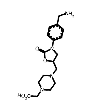 NCc1ccc(N2CC(CN3CCN(CC(=O)O)CC3)OC2=O)cc1